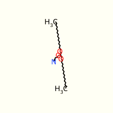 CCCCCCCCCCCCCCCCOCC(COCCCCCCCCCCCCCCCC)OCCC#N